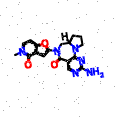 Cn1ccc2oc(N3C[C@@H]4CCCN4c4nc(N)ncc4C3=O)cc2c1=O